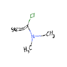 CN(C)C(Cl)=[Se]